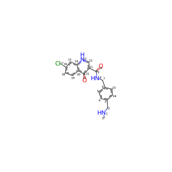 CNCc1ccc(CNC(=O)c2c[nH]c3cc(Cl)ccc3c2=O)cc1